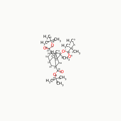 CCC(C)(C)C(=O)OC(C)(C)C12CC3CC(C(=O)OC(C)(C)C)(CC(C(=O)OC(C)(C)C)(C3)C1)C2